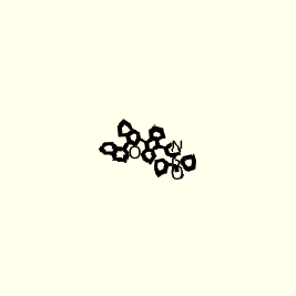 O=P(c1ccccc1)(c1ccccc1)c1cncc(-c2c3ccccc3c(-c3cc4ccccc4c4c3oc3ccc5ccccc5c34)c3ccccc23)c1